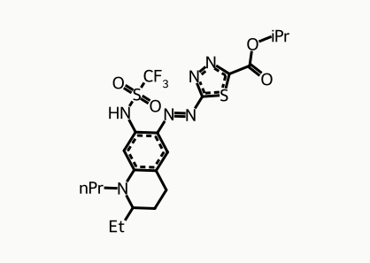 CCCN1c2cc(NS(=O)(=O)C(F)(F)F)c(N=Nc3nnc(C(=O)OC(C)C)s3)cc2CCC1CC